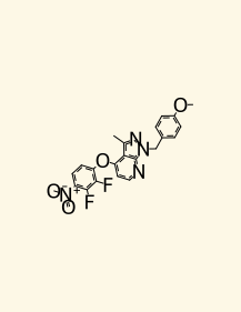 COc1ccc(Cn2nc(C)c3c(Oc4ccc([N+](=O)[O-])c(F)c4F)ccnc32)cc1